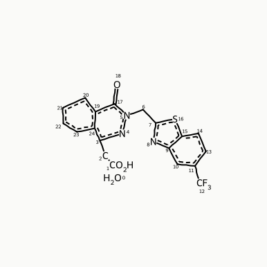 O.O=C(O)Cc1nn(Cc2nc3cc(C(F)(F)F)ccc3s2)c(=O)c2ccccc12